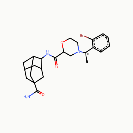 C[C@H](c1ccccc1Br)N1CCOC(C(=O)NC2C3CC4CC2CC(C(N)=O)(C4)C3)C1